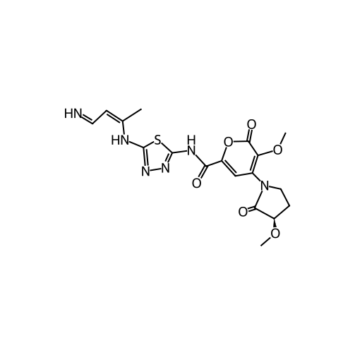 COc1c(N2CC[C@@H](OC)C2=O)cc(C(=O)Nc2nnc(N/C(C)=C\C=N)s2)oc1=O